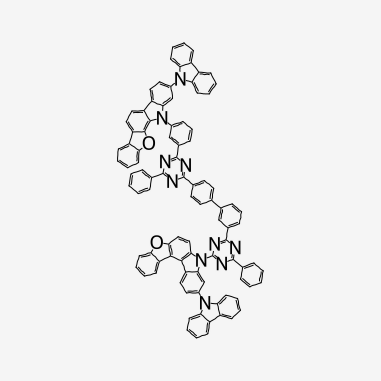 c1ccc(-c2nc(-c3ccc(-c4cccc(-c5nc(-c6ccccc6)nc(-n6c7cc(-n8c9ccccc9c9ccccc98)ccc7c7c8c(ccc76)oc6ccccc68)n5)c4)cc3)nc(-c3cccc(-n4c5cc(-n6c7ccccc7c7ccccc76)ccc5c5ccc6c7ccccc7oc6c54)c3)n2)cc1